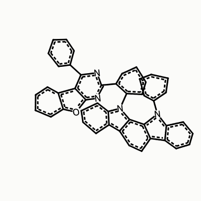 c1ccc(-c2nc(-c3ccccc3-n3c4ccccc4c4ccc5c6ccccc6n(-c6ccccc6)c5c43)nc3oc4ccccc4c23)cc1